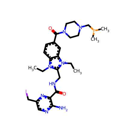 CCn1c(CNC(=O)c2nc(CI)cnc2N)[n+](CC)c2cc(C(=O)N3CCN(CP(C)C)CC3)ccc21